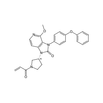 C=CC(=O)N1CC[C@@H](n2c(=O)n(-c3ccc(Oc4ccccc4)cc3)c3c(OC)nccc32)C1